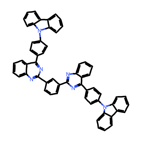 c1cc(-c2nc(-c3ccc(-n4c5ccccc5c5ccccc54)cc3)c3ccccc3n2)cc(-c2nc(-c3ccc(-n4c5ccccc5c5ccccc54)cc3)c3ccccc3n2)c1